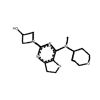 CN(c1nc(N2CC(O)C2)nc2c1SCC2)C1CCOCC1